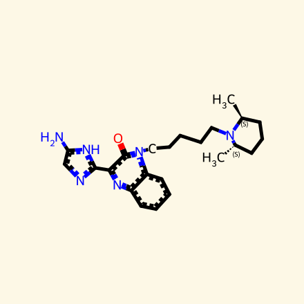 C[C@H]1CCC[C@H](C)N1CCCCCn1c(=O)c(-c2ncc(N)[nH]2)nc2ccccc21